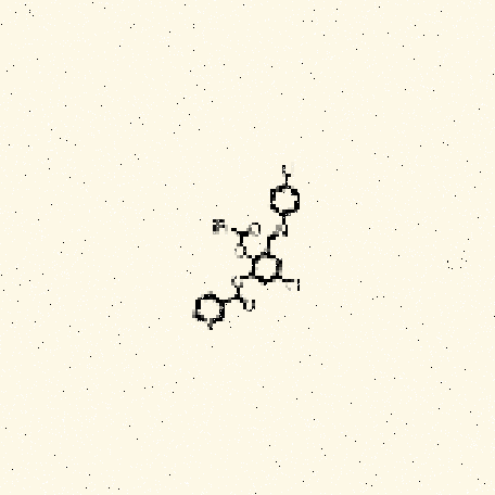 CC(C)C(=O)Oc1c(C=Nc2ccc(Cl)cc2)cc(Cl)cc1OC(=O)c1cccnc1